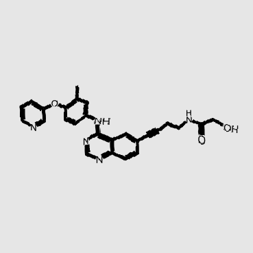 Cc1cc(Nc2ncnc3ccc(C#CCCNC(=O)CO)cc23)ccc1Oc1cccnc1